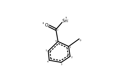 Cc1ccccc1[C](=O)[Sn]